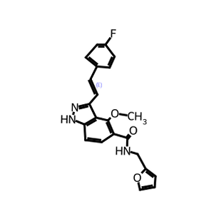 COc1c(C(=O)NCc2ccco2)ccc2[nH]nc(/C=C/c3ccc(F)cc3)c12